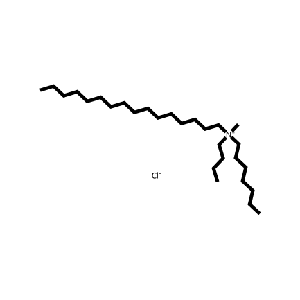 CCCCCCCCCCCCCCCC[N+](C)(CCCC)CCCCCCC.[Cl-]